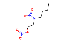 CCCCN(CCO[N+](=O)[O-])[N+](=O)[O-]